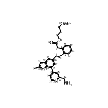 COCCCOC(=O)Cc1ccccc1OCc1cc(-c2ccnc(CN)c2)c2oc(F)cc2c1